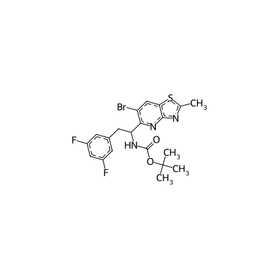 Cc1nc2nc(C(Cc3cc(F)cc(F)c3)NC(=O)OC(C)(C)C)c(Br)cc2s1